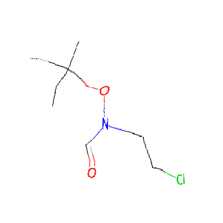 CC(C)(C)ON(C=O)CCCl